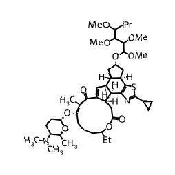 CC[C@H]1CCC[C@H](O[C@H]2CC[C@H](N(C)C)C(C)O2)[C@@H](C)C(=O)C2=C[C@H]3[C@@H]4C[C@H](OC(OC)C(OC)C(OC)C(OC)C(C)C)C[C@H]4c4sc(C5CC5)nc4[C@H]3[C@@H]2CC(=O)O1